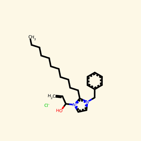 C=CC(O)[n+]1ccn(Cc2ccccc2)c1CCCCCCCCCCC.[Cl-]